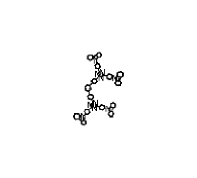 c1cc(-c2ccc(-c3nc(-c4ccc(-n5c6ccccc6c6ccccc65)cc4)nc(-c4ccc(-n5c6ccccc6c6ccccc65)cc4)n3)cc2)cc(-c2ccc(-c3nc(-c4ccc(-n5c6ccccc6c6ccccc65)cc4)nc(-c4ccc(-n5c6ccccc6c6ccccc65)cc4)n3)cc2)c1